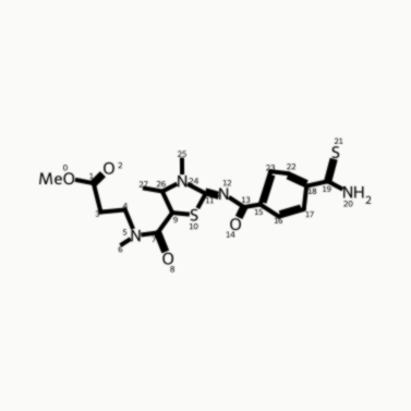 COC(=O)CCN(C)C(=O)C1SC(=NC(=O)c2ccc(C(N)=S)cc2)N(C)C1C